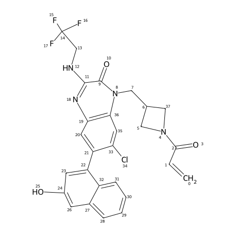 C=CC(=O)N1CC(Cn2c(=O)c(NCC(F)(F)F)nc3cc(-c4cc(O)cc5ccccc45)c(Cl)cc32)C1